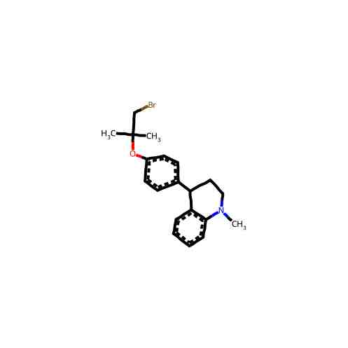 CN1CCC(c2ccc(OC(C)(C)CBr)cc2)c2ccccc21